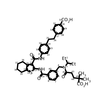 CCC(CC)N(Cc1cccc(C(=O)Nc2sc3c(c2C(=O)Nc2ccc(CCc4ccc(C(=O)O)cc4)cc2)CCCC3)c1)C(=O)CCC(C)(C)C(=O)O